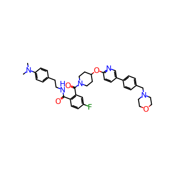 CN(C)c1ccc(CCNC(=O)c2ccc(F)cc2C(=O)N2CCC(Oc3ccc(-c4ccc(CN5CCOCC5)cc4)cn3)CC2)cc1